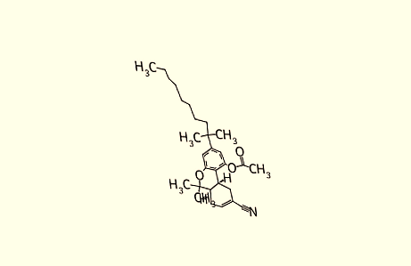 CCCCCCCCC(C)(C)c1cc(OC(C)=O)c2c(c1)OC(C)(C)[C@@H]1CC=C(C#N)C[C@@H]21